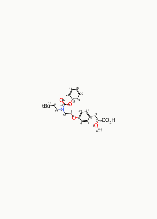 CCOC(Cc1ccc(OCCN(CCC(C)(C)C)C(=O)Oc2ccccc2)cc1)C(=O)O